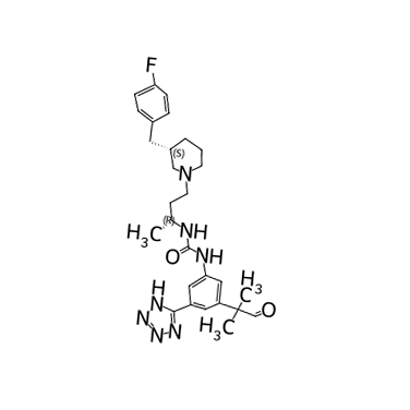 C[C@H](CCN1CCC[C@@H](Cc2ccc(F)cc2)C1)NC(=O)Nc1cc(-c2nnn[nH]2)cc(C(C)(C)C=O)c1